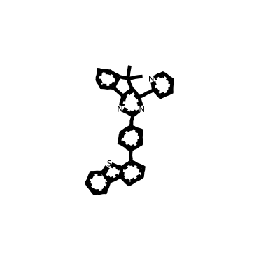 CC1(C)c2ccccc2-c2nc(-c3ccc(-c4cccc5c4sc4ccccc45)cc3)nc(-c3ccccn3)c21